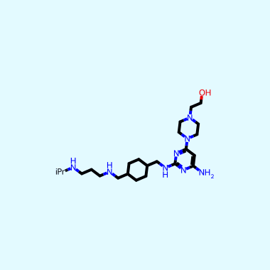 CC(C)NCCCNCC1CCC(CNc2nc(N)cc(N3CCN(CCO)CC3)n2)CC1